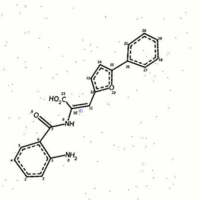 Nc1ccccc1C(=O)N/C(=C/c1ccc(-c2ccccc2)o1)C(=O)O